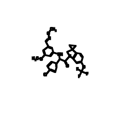 CON=Cc1cc(NC(C(=O)N2CC3(CC3)c3ccc(OC(F)(F)F)cc32)c2ccc(Cl)cc2)cc(OC)c1